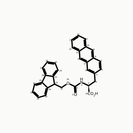 O=C(N[C@@H](Cc1ccc2cc3ccccc3cc2c1)C(=O)O)OCC1c2ccccc2-c2ccccc21